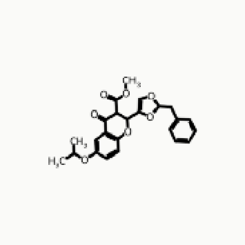 COC(=O)C1C(=O)c2cc(OC(C)C)ccc2OC1C1=COC(Cc2ccccc2)O1